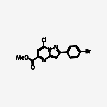 COC(=O)c1cc(Cl)n2nc(-c3ccc(Br)cc3)cc2n1